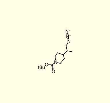 C[C@H](CN=[N+]=[N-])C1CCN(C(=O)OC(C)(C)C)CC1